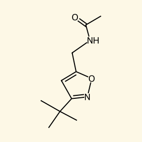 CC(=O)NCc1cc(C(C)(C)C)no1